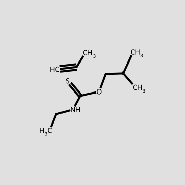 C#CC.CCNC(=S)OCC(C)C